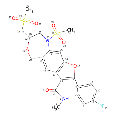 CNC(=O)c1c(-c2ccc(F)cc2)oc2cc3c(cc12)CO[C@H](CS(C)(=O)=O)CN3S(C)(=O)=O